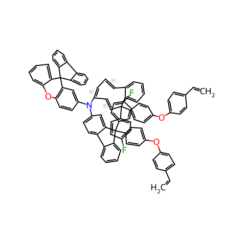 C=Cc1ccc(Oc2ccc(C3(c4ccc(F)cc4)/C=C/C(N(c4ccc5c(c4)C4(c6ccccc6O5)c5ccccc5-c5ccccc54)c4ccc5c(c4)C(c4ccc(F)cc4)(c4ccc(Oc6ccc(C=C)cc6)cc4)c4ccccc4-5)=C\C=C\c4ccccc43)cc2)cc1